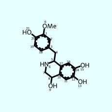 COc1cc(CC2NCC(O)c3cc(O)c(O)cc32)ccc1O